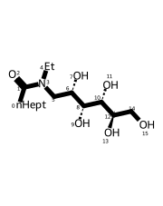 CCCCCCCC(=O)N(CC)C[C@H](O)[C@@H](O)[C@H](O)[C@H](O)CO